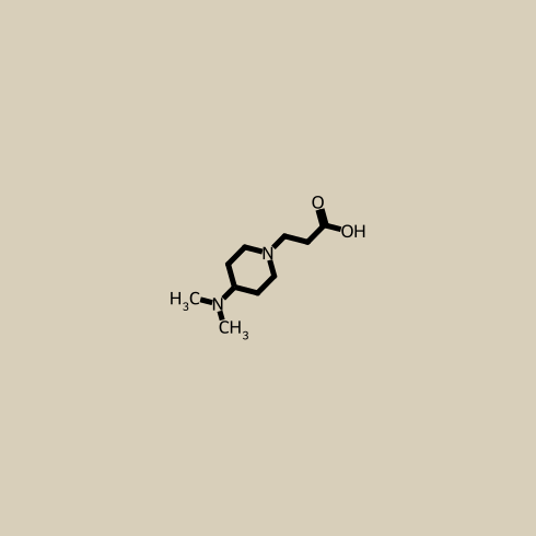 CN(C)C1CCN(CCC(=O)O)CC1